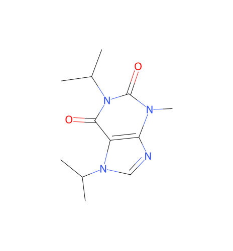 CC(C)n1c(=O)c2c(ncn2C(C)C)n(C)c1=O